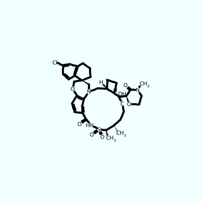 C[C@@H]1[C@@H](C)CCC[C@](O)([C@@H]2OCCN(C)C2=O)[C@@H]2CC[C@H]2CN2C[C@@]3(CCCc4cc(Cl)ccc43)COc3ccc(cc32)C(=O)NS1(=O)=O